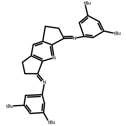 CC(C)(C)c1cc(/N=C2\CCc3cc4c(nc32)/C(=N/c2cc(C(C)(C)C)cc(C(C)(C)C)c2)CC4)cc(C(C)(C)C)c1